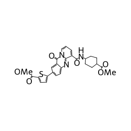 COC(=O)c1ccc(-c2ccc3nc4c(C(=O)NC5CCC(C(=O)OC)CC5)cccn4c(=O)c3c2)s1